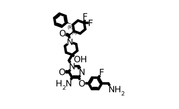 NCc1ccc(Oc2ncn(CC3(O)CCN(C(=O)[C@@H]4CCC(F)(F)C[C@H]4c4ccccc4)CC3)c(=O)c2N)cc1F